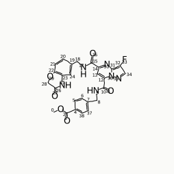 COC(=O)c1ccc(CNC(=O)c2cc(C(=O)NCc3ccc4c(c3)NC(=O)CO4)nc3c(F)cnn23)cc1